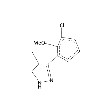 COc1c(Cl)cccc1C1=NNCC1C